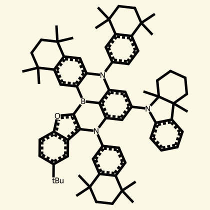 CC(C)(C)c1ccc2oc3c(c2c1)N(c1ccc2c(c1)C(C)(C)CCC2(C)C)c1cc(N2c4ccccc4C4(C)CCCCC24C)cc2c1B3c1cc3c(cc1N2c1ccc2c(c1)C(C)(C)CCC2(C)C)C(C)(C)CCC3(C)C